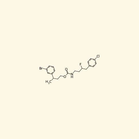 CC(CCOC(=O)NCCC(F)Cc1ccc(Cl)cc1)c1cccc(Br)c1